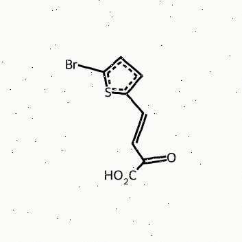 O=C(O)C(=O)C=Cc1ccc(Br)s1